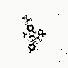 Cc1ccc(S(=O)(=O)N(C(=O)[C@H]2NCCC2(C)C)[C@@H](Cc2ccc(OC(=O)N(C)C)cc2)C(=O)OC(C)C)cc1